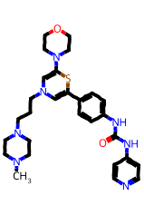 CN1CCN(CCCN2C=C(c3ccc(NC(=O)Nc4ccncc4)cc3)SC(N3CCOCC3)=C2)CC1